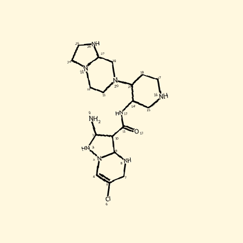 NC1NN2C=C(Cl)CNC2C1C(=O)NC1CNCCC1N1CCN2CCNC2C1